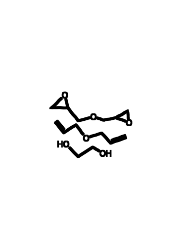 C(OCC1CO1)C1CO1.C=CCOCC=C.OCCO